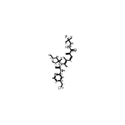 C=C(/C=C\C(C)=C(/C)N(C(=C)Nc1cc(CCl)ccn1)C(C)(CC)CCC)C(=O)NCC(C)(C)F